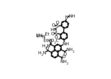 CCN(CC)CC.N=Nc1ccc2c(c1)S(=O)(=O)NS(=O)(=O)c1c-2ccc(Nc2cc(C(N)=O)c3c(C(N)=O)ccc(C(N)=O)c3c2C(N)=O)c1C(=O)O.[LiH]